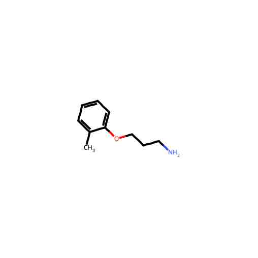 Cc1ccccc1OCCCN